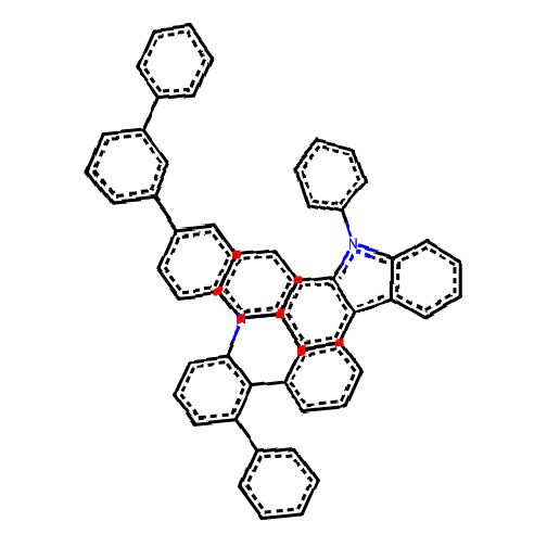 c1ccc(-c2cccc(-c3ccc(N(c4ccc5c6ccccc6n(-c6ccccc6)c5c4)c4cccc(-c5ccccc5)c4-c4ccccc4-c4ccccc4)cc3)c2)cc1